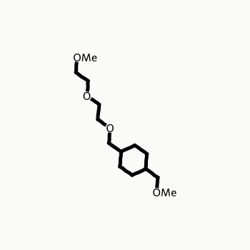 COCCOCCOCC1CCC(COC)CC1